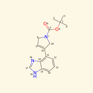 CC(C)(C)OC(=O)N1CC=C(c2cccc3[nH]cnc23)C1